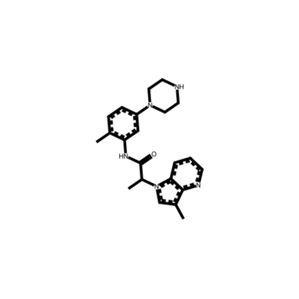 Cc1ccc(N2CCNCC2)cc1NC(=O)C(C)n1cc(C)c2ncccc21